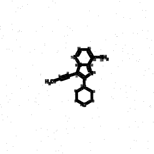 CC#Cc1c(N2CCOCC2)nc2c(N)ccnn12